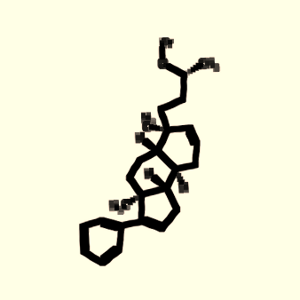 CC(C)O[C@H](C)CC[C@@]1(C)C=CC[C@@H]2[C@@H]1CC[C@]1(C)C(c3ccccc3)=CC[C@@H]21